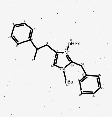 CCCCCC[n+]1c(CC(C)c2ccccc2)cn(CCCC)c1Cc1ccccc1